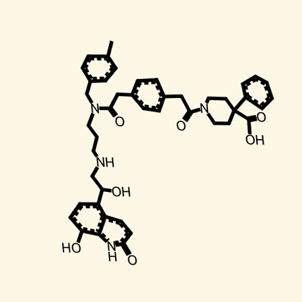 Cc1ccc(CN(CCCNCC(O)c2ccc(O)c3[nH]c(=O)ccc23)C(=O)Cc2ccc(CC(=O)N3CCC(C(=O)O)(c4ccccc4)CC3)cc2)cc1